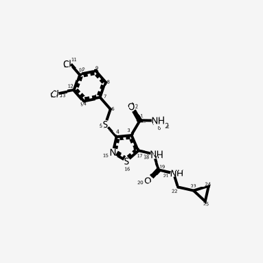 NC(=O)c1c(SCc2ccc(Cl)c(Cl)c2)nsc1NC(=O)NCC1CC1